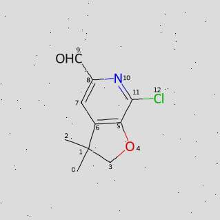 CC1(C)COc2c1cc(C=O)nc2Cl